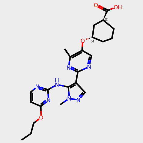 CCCOc1ccnc(Nc2c(-c3ncc(O[C@H]4CCC[C@H](C(=O)O)C4)c(C)n3)cnn2C)n1